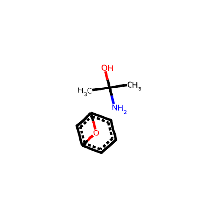 CC(C)(N)O.c1cc2cc(c1)O2